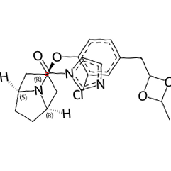 CC1OC(Cc2ccc(O[C@H]3C[C@H]4CC[C@@H](C3)N4C(=O)n3ccnc3)c(Cl)c2)O1